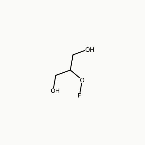 OCC(CO)OF